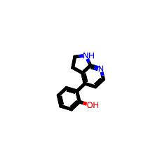 Oc1ccccc1-c1ccnc2c1CCN2